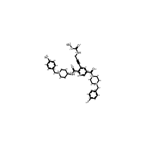 CC(C)(C)OC(=O)NCC#Cc1cc(C(=O)N2CCN(Cc3ccc(F)cc3)CC2)cnc1C(=O)NC1CCN(Cc2ccc(C#N)cc2)CC1